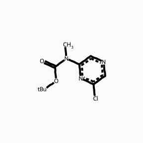 CN(C(=O)OC(C)(C)C)c1cncc(Cl)n1